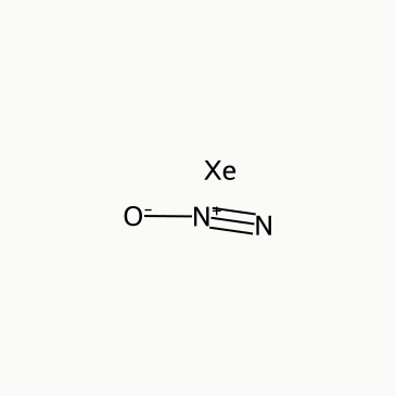 N#[N+][O-].[Xe]